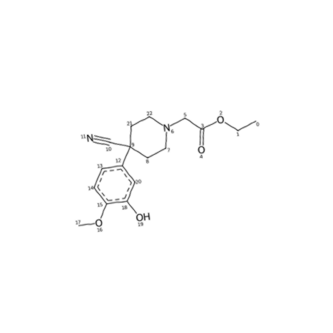 CCOC(=O)CN1CCC(C#N)(c2ccc(OC)c(O)c2)CC1